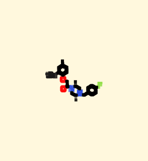 Cc1ccc(OCC(=O)N2C[C@@H](C)N(Cc3ccc(F)cc3)C[C@@H]2C)c(C(C)(C)C)c1